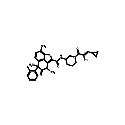 Cc1ccccc1C1(N)C(=O)C(N)c2c(C(=O)NC3CCCN(C(=O)/C(C#N)=C/C4CC4)C3)sc3c(N)ccc1c23